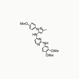 COc1ccc(-n2nc(C)cc2Nc2ccnc(Nc3ccc(OC)c(OC)c3)n2)cc1